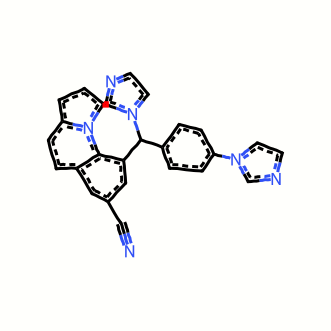 N#Cc1cc(C(c2ccc(-n3ccnc3)cc2)n2ccnc2)c2c(ccc3cccn32)c1